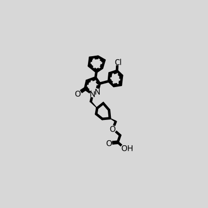 O=C(O)COC[C@H]1CC[C@@H](Cn2nc(-c3cccc(Cl)c3)c(-c3ccccc3)cc2=O)CC1